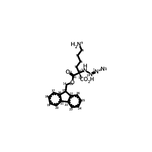 [N-]=[N+]=NN[C@](CCCCN)(C(=O)O)C(=O)OCC1c2ccccc2-c2ccccc21